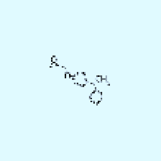 CC(c1ccccc1)c1ccc(OCC2CO2)cc1